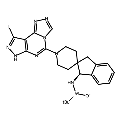 CC(C)(C)[S@@+]([O-])N[C@@H]1c2ccccc2CC12CCN(c1nc3[nH]nc(I)c3c3nncn13)CC2